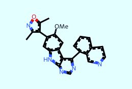 COc1cc2c(cc1-c1c(C)noc1C)[nH]c1ncnc(-c3cccc4ccncc34)c12